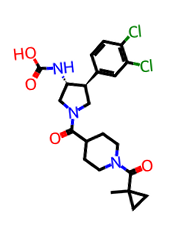 CC1(C(=O)N2CCC(C(=O)N3C[C@H](NC(=O)O)[C@@H](c4ccc(Cl)c(Cl)c4)C3)CC2)CC1